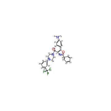 CN(C)c1ccc(-c2oc(-c3ccccc3)nc2C(=O)N2CCN(c3cccc(C(F)(F)F)c3)CC2)cc1